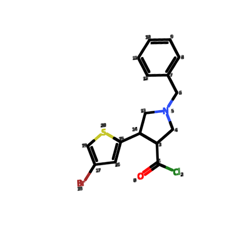 O=C(Cl)C1CN(Cc2ccccc2)CC1c1cc(Br)cs1